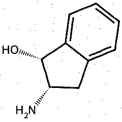 N[C@H]1Cc2ccccc2[C@H]1O